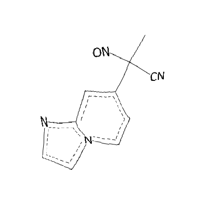 CC(C#N)(N=O)c1ccn2ccnc2c1